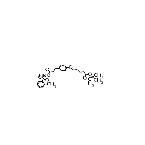 Cc1ccccc1S(=O)(=O)NOC(=O)CCc1ccc(OCCCCC(=O)OC(C)(C)C)cc1